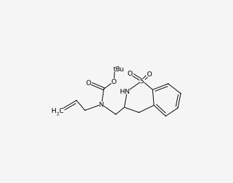 C=CCN(CC1Cc2ccccc2S(=O)(=O)N1)C(=O)OC(C)(C)C